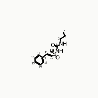 CCCNC(=O)NS(=O)(=O)C=Cc1ccccc1